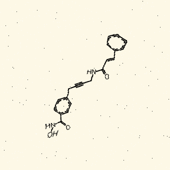 O=C(C=Cc1ccccc1)NCC#CCc1ccc(C(=O)NO)cc1